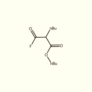 CCCCOC(=O)C(CCCC)C(=O)F